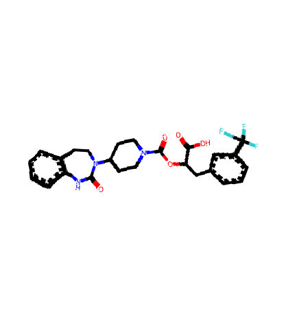 O=C(O)C(Cc1cccc(C(F)(F)F)c1)OC(=O)N1CCC(N2CCc3ccccc3NC2=O)CC1